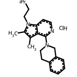 Cc1c(C)n(CCC(C)C)c2ccnc(N3CCc4ccccc4C3)c12.Cl